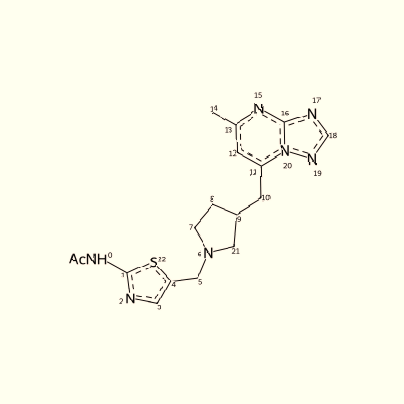 CC(=O)Nc1ncc(CN2CCC(Cc3cc(C)nc4ncnn34)C2)s1